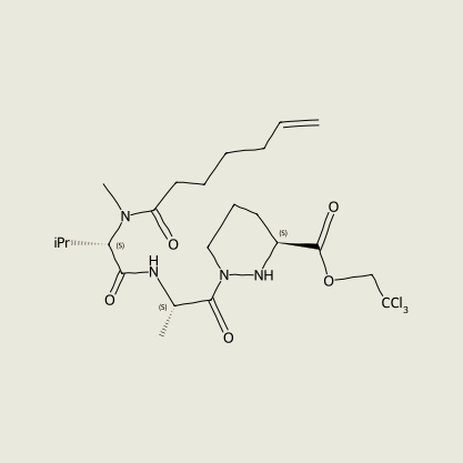 C=CCCCCC(=O)N(C)[C@H](C(=O)N[C@@H](C)C(=O)N1CCC[C@@H](C(=O)OCC(Cl)(Cl)Cl)N1)C(C)C